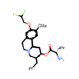 COc1cc2c(cc1OCC(F)F)CCN1CC(CC(C)C)C(OC(=O)[C@@H](N)C(C)C)CC21